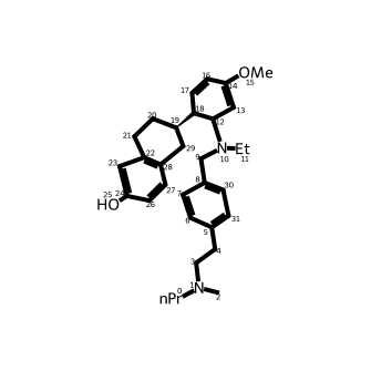 CCCN(C)CCc1ccc(CN(CC)C2C=C(OC)C=CC2[C@@H]2CCc3cc(O)ccc3C2)cc1